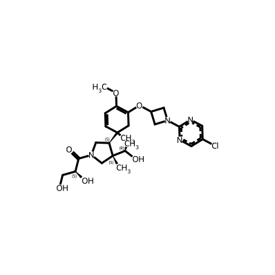 COC1=C(OC2CN(c3ncc(Cl)cn3)C2)CC(C)([C@@H]2CN(C(=O)[C@@H](O)CO)C[C@@]2(C)[C@@H](C)O)C=C1